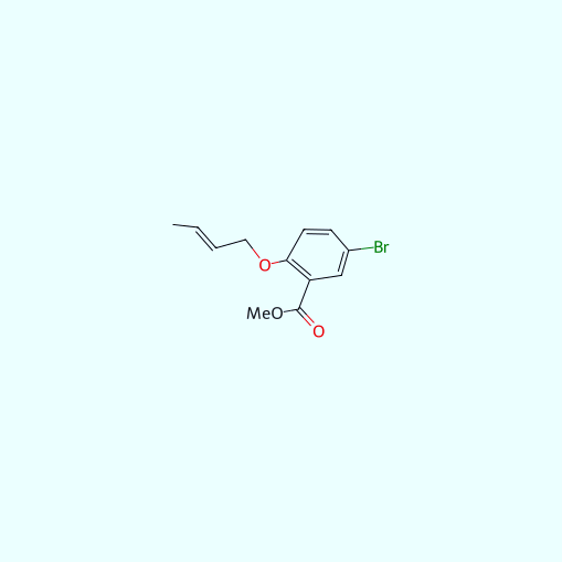 C/C=C/COc1ccc(Br)cc1C(=O)OC